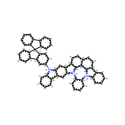 c1ccc2c(c1)-c1ccccc1C21c2ccccc2-c2cc(-n3c4ccccc4c4cc5c(cc43)c3ccc4ccc6c7ccccc7n7c8ccccc8n5c3c4c67)ccc21